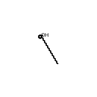 CCCCCCCCCCCCCCCCCCCCCc1ccccc1O